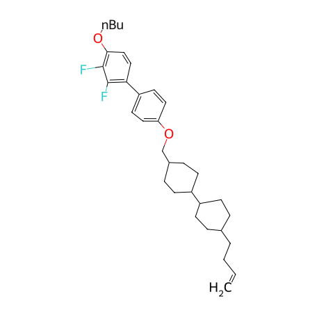 C=CCCC1CCC(C2CCC(COc3ccc(-c4ccc(OCCCC)c(F)c4F)cc3)CC2)CC1